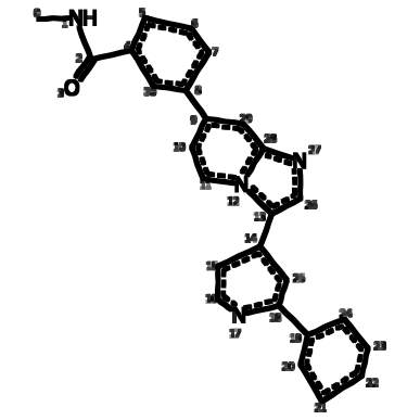 CNC(=O)c1cccc(-c2ccn3c(-c4ccnc(-c5ccccc5)c4)cnc3c2)c1